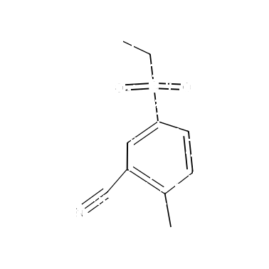 CCS(=O)(=O)c1ccc(C)c(C#N)c1